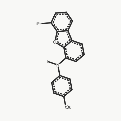 CC(C)c1cccc2c1oc1c(N(I)c3ccc(C(C)(C)C)cc3)cccc12